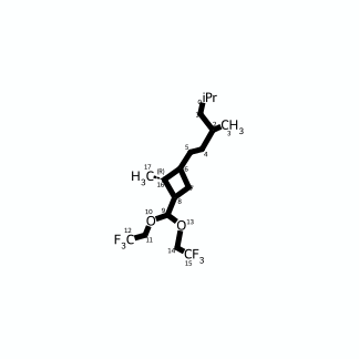 CC(C)CC(C)CCC1CC(C(OCC(F)(F)F)OCC(F)(F)F)[C@@H]1C